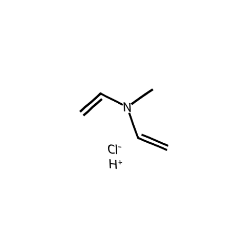 C=CN(C)C=C.[Cl-].[H+]